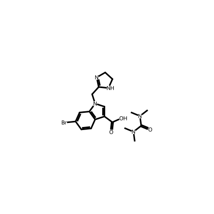 CN(C)C(=O)N(C)C.O=C(O)c1cn(CC2=NCCN2)c2cc(Br)ccc12